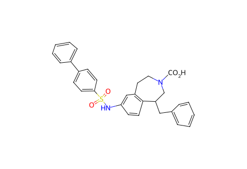 O=C(O)N1CCc2cc(NS(=O)(=O)c3ccc(-c4ccccc4)cc3)ccc2C(Cc2ccccc2)C1